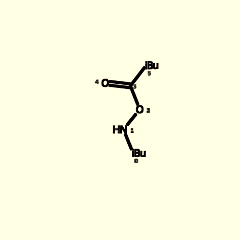 CCC(C)NOC(=O)C(C)CC